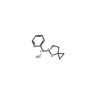 O[C@H](c1ccccn1)[C@H]1CCC2(CC2)O1